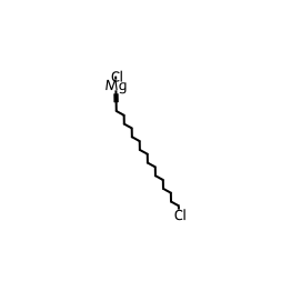 ClCCCCCCCCCCCCCCCCC#[C][Mg][Cl]